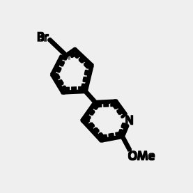 COc1ccc(-c2ccc(Br)cc2)cn1